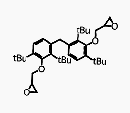 CC(C)(C)c1ccc(Cc2ccc(C(C)(C)C)c(OCC3CO3)c2C(C)(C)C)c(C(C)(C)C)c1OCC1CO1